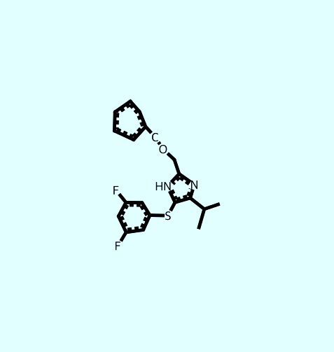 CC(C)c1nc(COCc2ccccc2)[nH]c1Sc1cc(F)cc(F)c1